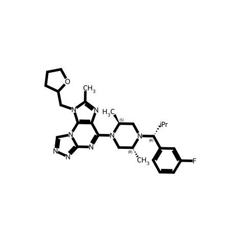 Cc1nc2c(N3C[C@@H](C)N([C@@H](c4cccc(F)c4)C(C)C)C[C@@H]3C)nc3nncn3c2n1CC1CCCO1